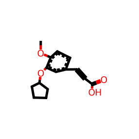 COc1ccc(C#CC(=O)O)cc1OC1CCCC1